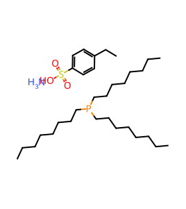 CCCCCCCCP(CCCCCCCC)CCCCCCCC.CCc1ccc(S(=O)(=O)O)cc1.N